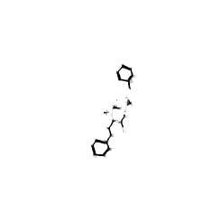 CC(C)CCN(C(=O)OCc1ccccc1)C(=O)N(C=O)CCCc1ccccc1